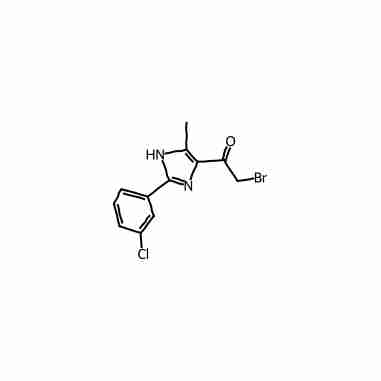 Cc1[nH]c(-c2cccc(Cl)c2)nc1C(=O)CBr